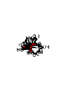 CC1NC(=O)C2CC(O)CN2C(=O)C2CSc3[nH]c4ccccc4c3CC(NC1=O)C(=O)NC(CC(C)(O)CO)C(=O)NC(C(C)C)C(=O)NC(C(O)C(=O)O)C(=O)N2